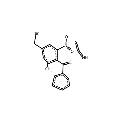 Cc1cc(CBr)cc([N+](=O)[O-])c1C(=O)c1ccccc1.N=C=S